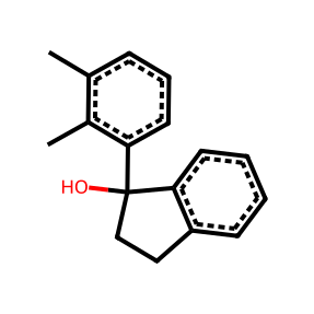 Cc1cccc(C2(O)CCc3ccccc32)c1C